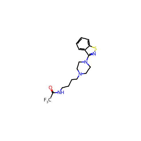 O=C(NCCCCN1CCN(c2nsc3ccccc23)CC1)C(F)(F)F